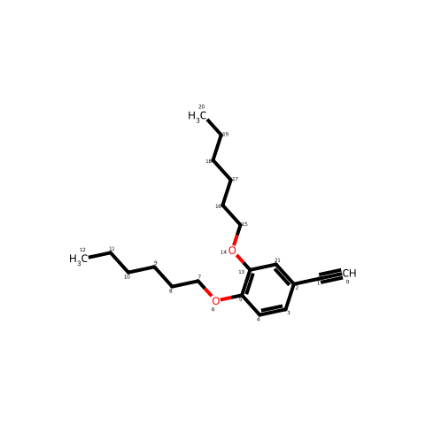 C#Cc1ccc(OCCCCCC)c(OCCCCCC)c1